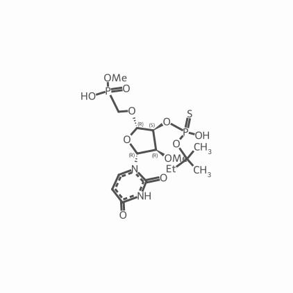 CCC(C)(C)OP(O)(=S)O[C@@H]1[C@@H](OCP(=O)(O)OC)O[C@@H](n2ccc(=O)[nH]c2=O)[C@@H]1OC